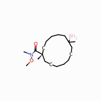 BC1(C)CCCCCCC[C@](C)(C(=O)N(C)OC)CCCCC1